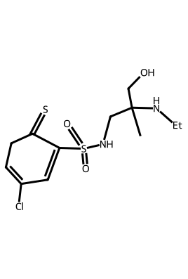 CCNC(C)(CO)CNS(=O)(=O)C1=CC(Cl)=CCC1=S